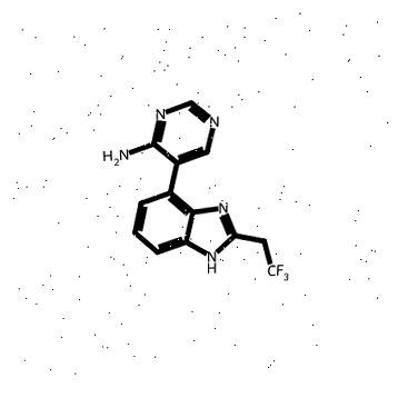 Nc1ncncc1-c1cccc2[nH]c(CC(F)(F)F)nc12